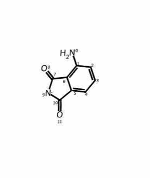 Nc1cccc2c1C(=O)[N]C2=O